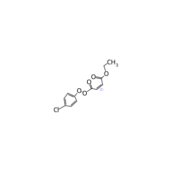 CCOC(=O)/C=C\C(=O)OOc1ccc(Cl)cc1